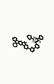 CC1(C)c2cc(-c3cccc(-c4cccc(-c5nc(-c6ccccc6)nc6c5sc5ccccc56)c4)c3)ccc2-c2cc3c(cc21)-c1ccccc1C31CCCCC1